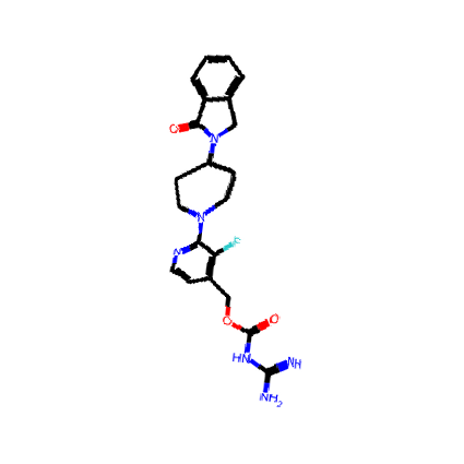 N=C(N)NC(=O)OCc1ccnc(N2CCC(N3Cc4ccccc4C3=O)CC2)c1F